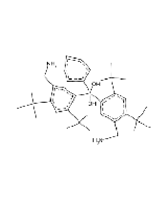 CC(C)(C)c1cc(C(C)(C)C)c(P(O)(O)(c2ccccc2)c2cc(CN)c(C(C)(C)C)cc2C(C)(C)C)cc1CN